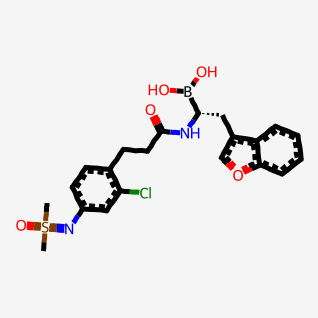 CS(C)(=O)=Nc1ccc(CCC(=O)N[C@@H](Cc2coc3ccccc23)B(O)O)c(Cl)c1